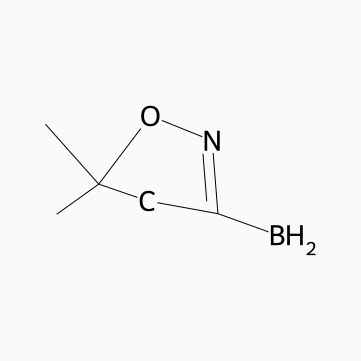 BC1=NOC(C)(C)C1